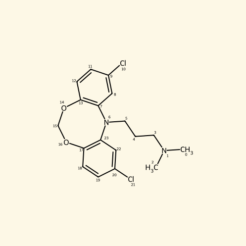 CN(C)CCCN1c2cc(Cl)ccc2OCOc2ccc(Cl)cc21